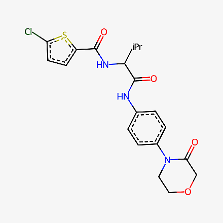 CC(C)C(NC(=O)c1ccc(Cl)s1)C(=O)Nc1ccc(N2CCOCC2=O)cc1